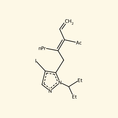 C=C/C(C(C)=O)=C(\CCC)Cc1c(I)cnn1C(CC)CC